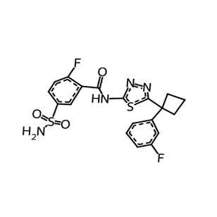 NS(=O)(=O)c1ccc(F)c(C(=O)Nc2nnc(C3(c4cccc(F)c4)CCC3)s2)c1